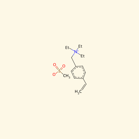 C=Cc1ccc(C[N+](CC)(CC)CC)cc1.CS(=O)(=O)[O-]